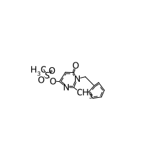 Cc1nc(OS(C)(=O)=O)cc(=O)n1Cc1ccccc1